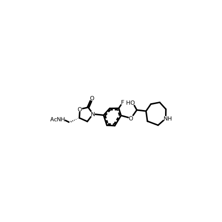 CC(=O)NC[C@H]1CN(c2ccc(OC(O)C3CCCNCC3)c(F)c2)C(=O)O1